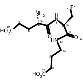 CC(C)C[C@H](NC(=O)[C@@H](N)CCC(=O)O)C(=O)NCCCC(=O)O